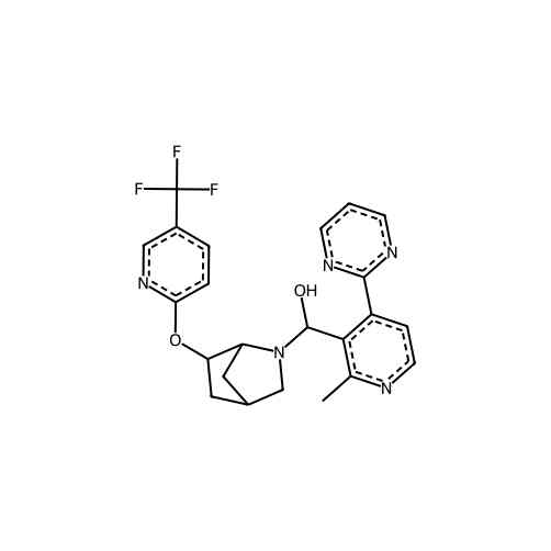 Cc1nccc(-c2ncccn2)c1C(O)N1CC2CC(Oc3ccc(C(F)(F)F)cn3)C1C2